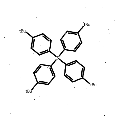 CC(C)(C)c1ccc(S(c2ccc(C(C)(C)C)cc2)(c2ccc(C(C)(C)C)cc2)c2ccc(C(C)(C)C)cc2)cc1